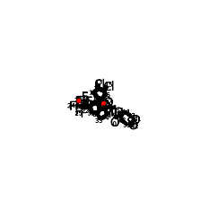 O=C(N1CCC2(S(=O)(=O)c3ccc(Cl)c(Cl)c3)c3ccc(C(F)(C(F)(F)F)C(F)(F)F)cc3CCC12)C1(O)CCS(=O)(=O)CC1